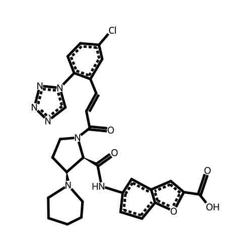 O=C(O)c1cc2cc(NC(=O)[C@H]3[C@@H](N4CCCCC4)CCN3C(=O)/C=C/c3cc(Cl)ccc3-n3cnnn3)ccc2o1